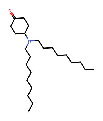 CCCCCCCCCN(CCCCCCCCC)C1CCC(=O)CC1